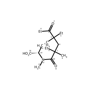 CCC(=O)C(C)(CC)CC(C)(CC)C(=O)N(C)[C@@H](C)C(=O)O